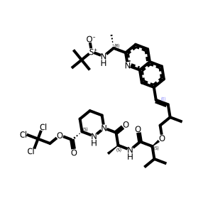 CC(/C=C/c1ccc2ccc([C@@H](C)N[S+]([O-])C(C)(C)C)nc2c1)CO[C@H](C(=O)N[C@@H](C)C(=O)N1CCC[C@@H](C(=O)OCC(Cl)(Cl)Cl)N1)C(C)C